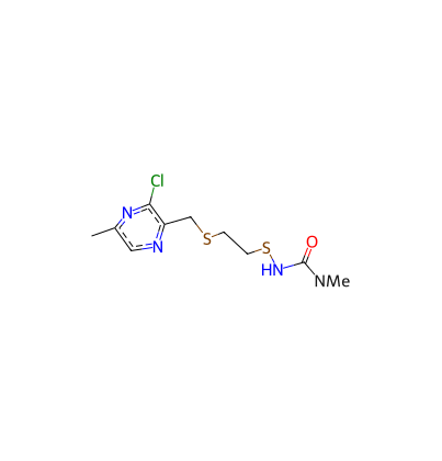 CNC(=O)NSCCSCc1ncc(C)nc1Cl